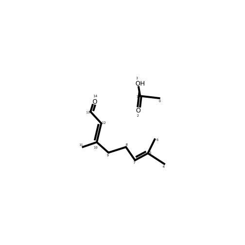 CC(=O)O.CC(C)=CCCC(C)=CC=O